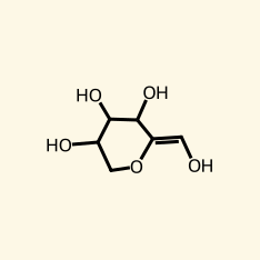 OC=C1OCC(O)C(O)C1O